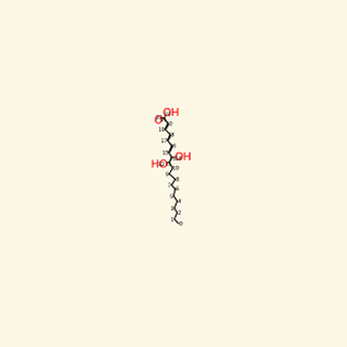 CCCCCCCCCCCC(O)C(O)C=CC=CC=CC(=O)O